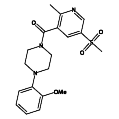 COc1ccccc1N1CCN(C(=O)c2cc(S(C)(=O)=O)cnc2C)CC1